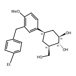 CCc1ccc(Cc2cc([C@@H]3C[C@H](CO)[C@@H](O)[C@H](O)C3)ccc2OC)cc1